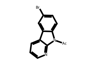 CC(=O)n1c2ccc(Br)cc2c2cccnc21